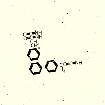 C.C.C.N=C=O.N=C=O.N=C=O.c1ccccc1.c1ccccc1.c1ccccc1